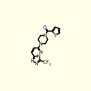 O=C(c1cccs1)N1CCN(c2ccc3nnc(C(F)(F)F)n3n2)CC1